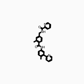 Cc1cc(CNC(=O)c2ccccn2)ccc1C(=O)Nc1ccc(C)c(-c2ccccn2)c1